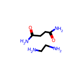 NC(=O)CCC(N)=O.NCCN